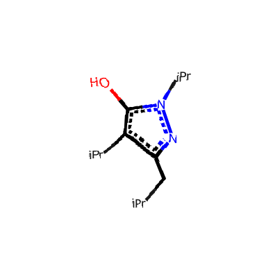 CC(C)Cc1nn(C(C)C)c(O)c1C(C)C